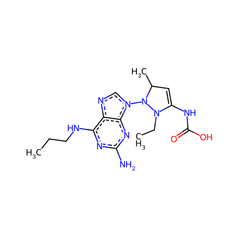 CCCNc1nc(N)nc2c1ncn2N1C(C)C=C(NC(=O)O)N1CC